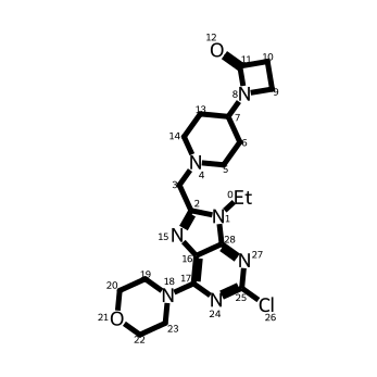 CCn1c(CN2CCC(N3CCC3=O)CC2)nc2c(N3CCOCC3)nc(Cl)nc21